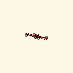 C=C(C)C(=O)OCCCc1ccc2cc(C(=O)O[C@H]3CO[C@H]4[C@@H]3CC[C@H]4OC(=O)c3ccc4cc(CCCOC(=O)C(=C)C)ccc4c3)ccc2c1